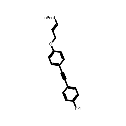 CCCCCC=CCOc1ccc(C#Cc2ccc(CCC)cc2)cc1